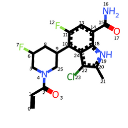 C=CC(=O)N1CC(F)CC(c2c(F)cc(C(N)=O)c3[nH]c(C)c(Cl)c23)C1